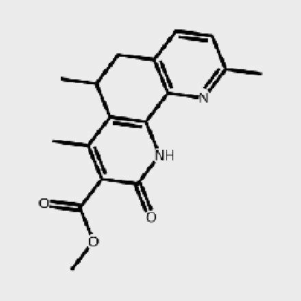 COC(=O)c1c(C)c2c([nH]c1=O)-c1nc(C)ccc1CC2C